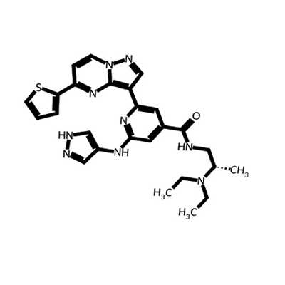 CCN(CC)[C@@H](C)CNC(=O)c1cc(Nc2cn[nH]c2)nc(-c2cnn3ccc(-c4cccs4)nc23)c1